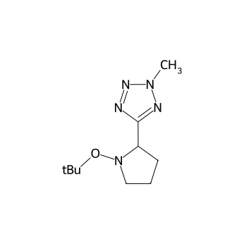 Cn1nnc(C2CCCN2OC(C)(C)C)n1